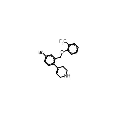 FC(F)(F)c1ccccc1OCc1cc(Br)ccc1C1=CCNCC1